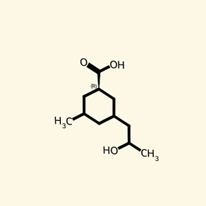 CC(O)CC1CC(C)C[C@@H](C(=O)O)C1